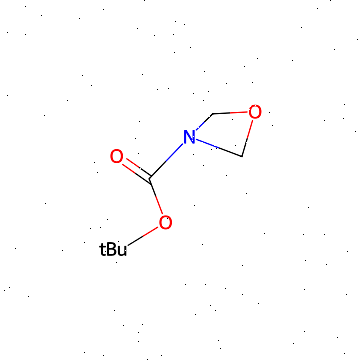 CC(C)(C)OC(=O)N1COC1